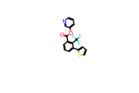 O=C(Oc1cccnc1)c1cccc(-c2cccs2)c1C(F)(F)F